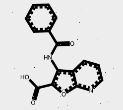 O=C(Nc1c(C(=O)O)oc2ncccc12)c1ccccc1